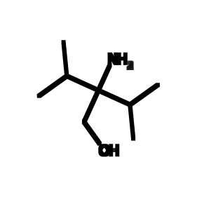 CC(C)C(N)(CO)C(C)C